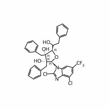 OC(Cc1ccccc1)[C@H]1O[C@@H](n2c(Cl)nc3c(Cl)cc(C(F)(F)F)cc32)[C@@](O)(Cc2ccccc2)[C@@]1(O)Cc1ccccc1